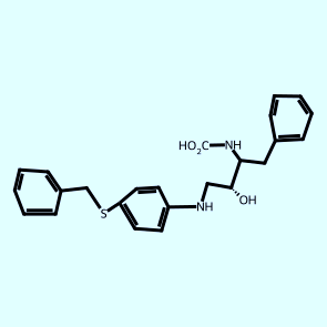 O=C(O)NC(Cc1ccccc1)[C@H](O)CNc1ccc(SCc2ccccc2)cc1